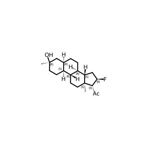 CC(=O)[C@H]1[C@H](F)C[C@H]2[C@@H]3CC[C@@H]4C[C@](C)(O)CC[C@@H]4[C@H]3CC[C@@]21C